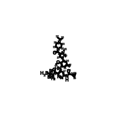 BC(B)(B)NC(=O)c1nnc(NC(=O)C2CC2)cc1Nc1cc(F)cc(-c2cc(C(=O)N3CCN(C(C)C)CC3)n(C)n2)c1OC